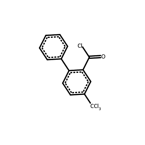 O=C(Cl)c1cc(C(Cl)(Cl)Cl)ccc1-c1ccccc1